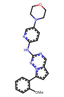 COc1ccccc1-c1ccc2cnc(Nc3ccc(N4CCOCC4)cn3)nn12